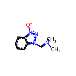 C[N+](C)=Cn1n[n+]([O-])c2ccccc21